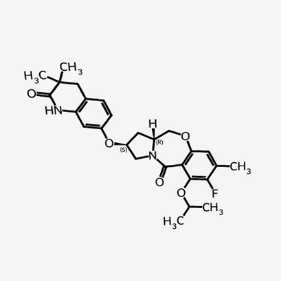 Cc1cc2c(c(OC(C)C)c1F)C(=O)N1C[C@@H](Oc3ccc4c(c3)NC(=O)C(C)(C)C4)C[C@@H]1CO2